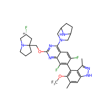 Cc1cc2[nH]nc(C)c2c(-c2c(F)cc3c(N4CC5CCC(C4)N5)nc(OCC45CCCN4C[C@H](F)C5)nc3c2F)c1OC(F)(F)F